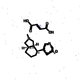 CN1C[C@@H]2CCC[C@H](c3cccnc3)[C@@H]2C1.O.O=C(O)/C=C/C(=O)O